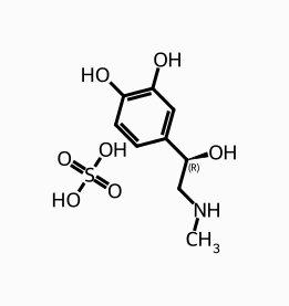 CNC[C@H](O)c1ccc(O)c(O)c1.O=S(=O)(O)O